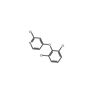 Clc1cc(Oc2c(Cl)cccc2Cl)ccn1